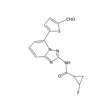 O=Cc1ccc(-c2cccc3nc(NC(=O)C4CC4F)nn23)s1